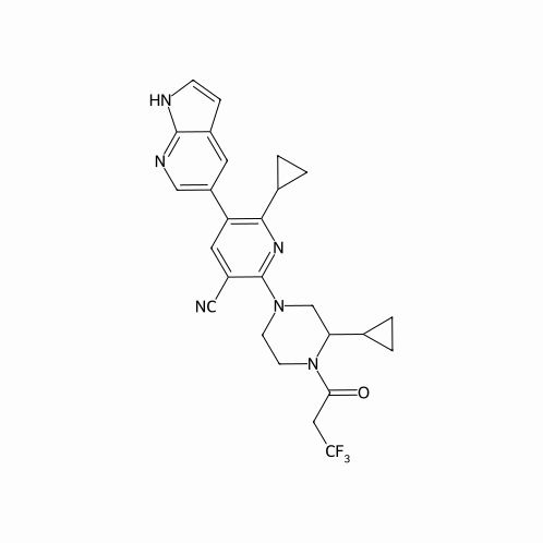 N#Cc1cc(-c2cnc3[nH]ccc3c2)c(C2CC2)nc1N1CCN(C(=O)CC(F)(F)F)C(C2CC2)C1